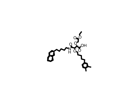 CCOC(=O)CO[C@@H](C(=O)O)[C@@H](OCCCCCc1ccc(C)c(C)c1)C(=O)NCCCCCc1ccc2ccccc2c1